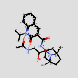 CC(=O)NCC(O)CN1[C@@H]2CC[C@H]1C[C@H](NC(=O)c1cc3ccccc3n(C(C)C)c1=O)C2